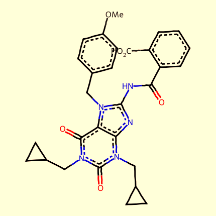 COc1ccc(Cn2c(NC(=O)c3ccccc3C(=O)O)nc3c2c(=O)n(CC2CC2)c(=O)n3CC2CC2)cc1